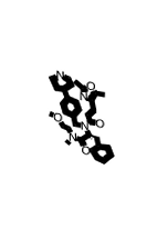 COCCN(C)C(=O)[C@H](Cc1ccccc1)N(Cc1ccc(-c2ccncc2)cc1)C(=O)C=Cc1nc(C)oc1C